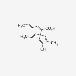 CC=CC=C(C(=O)O)C(C=CC)(C=CC)C=CC